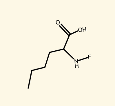 CCCCC(NF)C(=O)O